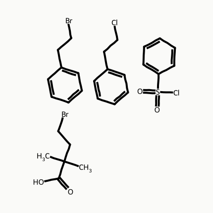 BrCCc1ccccc1.CC(C)(CCBr)C(=O)O.ClCCc1ccccc1.O=S(=O)(Cl)c1ccccc1